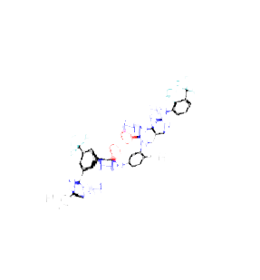 Cc1c[nH]c(-c2cc(C(=O)Nc3ccc(C)c(N4Cc5cnc(Nc6cccc(C(F)(F)F)c6F)nc5NC4=O)c3)cc(C(F)(F)F)c2)n1